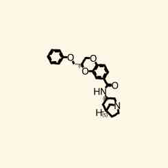 O=C(N[C@@H]1C[C@@H]2CCN(C2)C1)c1ccc2c(c1)O[C@H](COc1ccccc1)CO2